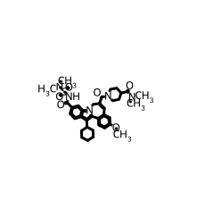 COc1ccc2c(c1)C=C(C(=O)N1CCC(C(=O)N(C)C)CC1)Cn1c-2c(C2CCCCC2)c2ccc(C(=O)NS(=O)(=O)N(C)C)cc21